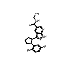 N#CCNC(=O)c1cnc2[nH]nc(N3CCC[C@@H]3c3cc(F)ccc3F)c2c1